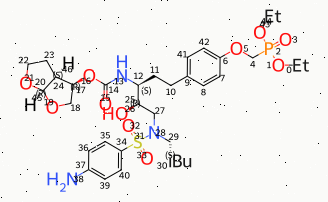 CCOP(=O)(COc1ccc(CC[C@H](NC(=O)O[C@H]2CO[C@H]3OCC[C@H]32)[C@H](O)CN(C[C@@H](C)CC)S(=O)(=O)c2ccc(N)cc2)cc1)OCC